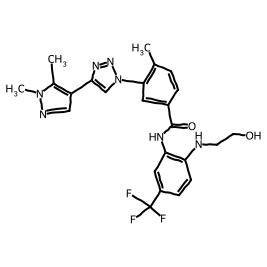 Cc1ccc(C(=O)Nc2cc(C(F)(F)F)ccc2NCCO)cc1-n1cc(-c2cnn(C)c2C)nn1